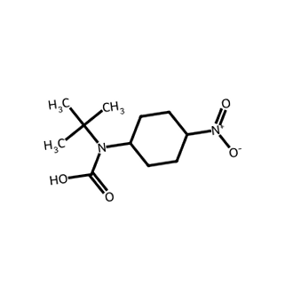 CC(C)(C)N(C(=O)O)C1CCC([N+](=O)[O-])CC1